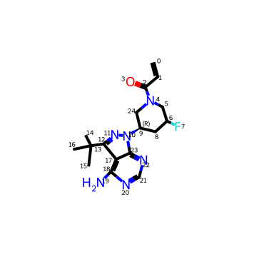 C=CC(=O)N1CC(F)C[C@@H](n2nc(C(C)(C)C)c3c(N)ncnc32)C1